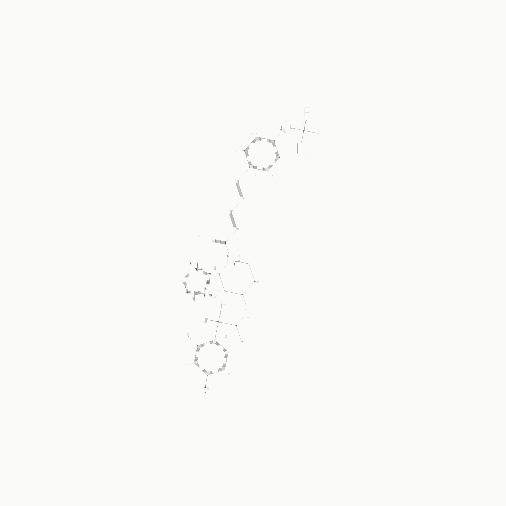 CC(SC1CCN(C(=O)/C=C/C=C/c2ccc(OC(F)(F)F)cc2)CC1)C(O)(Cn1cncn1)c1ccc(F)cc1F